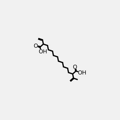 C=CC(CCCCCCCCCCC(C(=C)C)C(=O)O)C(=O)O